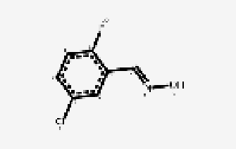 O/N=C/c1cc(Cl)ccc1F